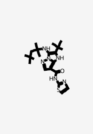 CC(C)(C)CC(C)(C)Nc1c(C(C)(C)C)[nH]c2c(C(=O)Nc3nccs3)cnn12